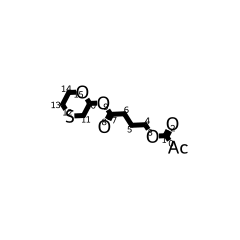 CC(=O)C(=O)OCCCC(=O)OC1CSCCO1